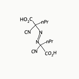 [C-]#[N+]C(CCC)(/N=N/C(CCC)([N+]#[C-])C(=O)O)C(=O)O